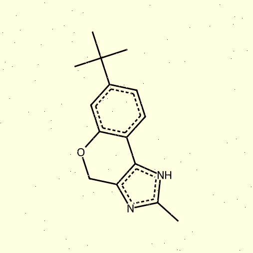 Cc1nc2c([nH]1)-c1ccc(C(C)(C)C)cc1OC2